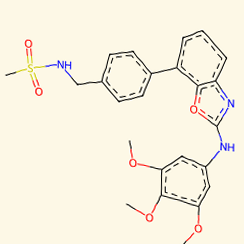 COc1cc(Nc2nc3cccc(-c4ccc(CNS(C)(=O)=O)cc4)c3o2)cc(OC)c1OC